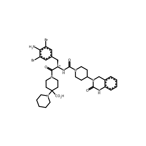 Nc1c(Br)cc(C[C@@H](NC(=O)N2CCC(N3Cc4ccccc4NC3=O)CC2)C(=O)N2CCC(C(=O)O)(N3CCCCC3)CC2)cc1Br